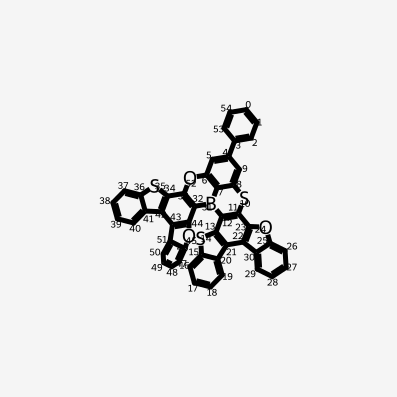 c1ccc(-c2cc3c4c(c2)Sc2c(c5sc6ccccc6c5c5c2oc2ccccc25)B4c2c(c4sc5ccccc5c4c4c2oc2ccccc24)O3)cc1